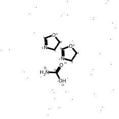 C1=NCCO1.C1=NCCO1.NC(=O)O